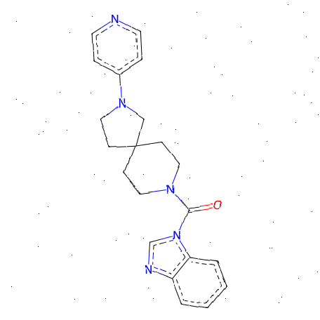 O=C(N1CCC2(CC1)CCN(c1ccncc1)C2)n1cnc2ccccc21